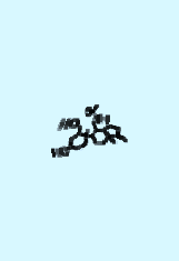 C=C1CCC2C(CNC(C)=O)C(C3(C)CCC(O)CC3CO)CCC12C